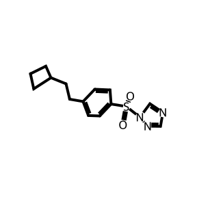 O=S(=O)(c1ccc(CCC2CCC2)cc1)n1cncn1